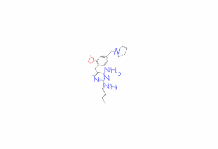 CCCCNc1nc(C)c(Cc2ccc(CN3CCCC3)cc2OC)c(N)n1